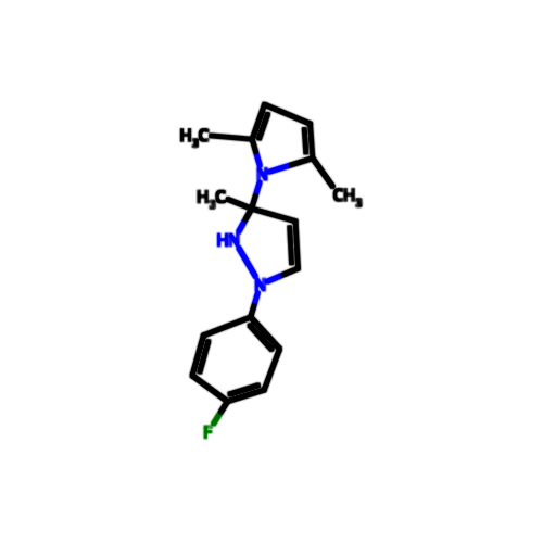 Cc1ccc(C)n1C1(C)C=CN(c2ccc(F)cc2)N1